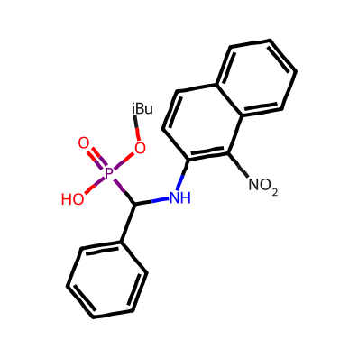 CCC(C)OP(=O)(O)C(Nc1ccc2ccccc2c1[N+](=O)[O-])c1ccccc1